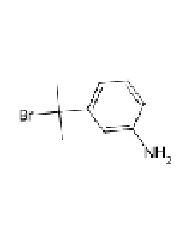 CC(C)(Br)c1cccc(N)c1